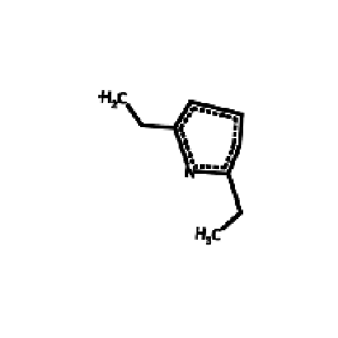 [CH2]Cc1cccc(CC)n1